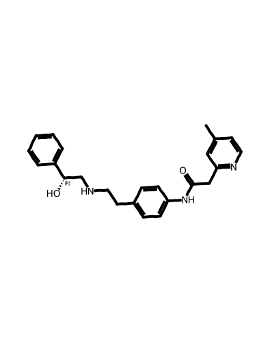 Cc1ccnc(CC(=O)Nc2ccc(CCNC[C@H](O)c3ccccc3)cc2)c1